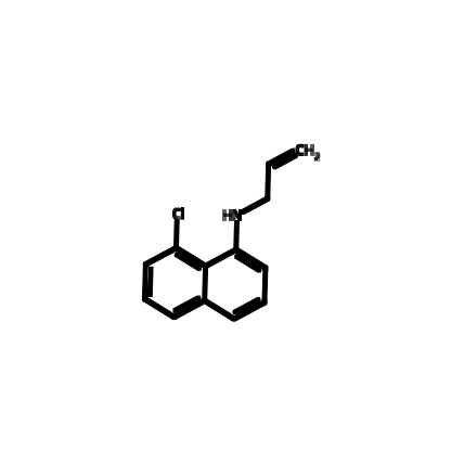 C=CCNc1cccc2cccc(Cl)c12